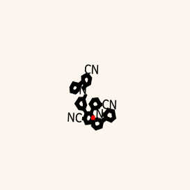 N#Cc1ccc2c(c1)c1ccccc1n2Cc1cccc(-c2c(C#N)cccc2-c2cccc(C#N)c2-n2c3ccccc3c3ccccc32)c1